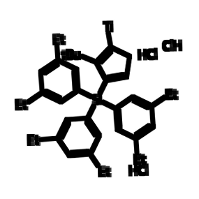 CCc1cc(CC)cc([Si](C2=CC[C]([Ti])=C2C(C)(C)C)(c2cc(CC)cc(CC)c2)c2cc(CC)cc(CC)c2)c1.Cl.Cl.Cl